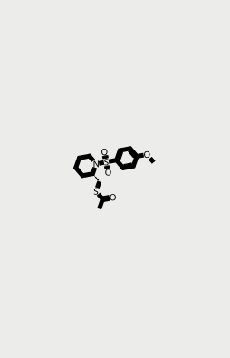 COc1ccc(S(=O)(=O)N2CCCC[C@H]2CSC(C)=O)cc1